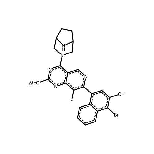 COc1nc(N2CC3CCC(C2)N3)c2cnc(-c3cc(O)c(Br)c4ccccc34)c(F)c2n1